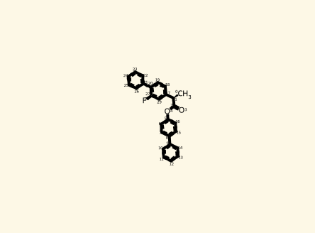 C[C@@H](C(=O)Oc1ccc(-c2ccccc2)cc1)c1ccc(-c2ccccc2)c(F)c1